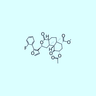 COC(=O)[C@@H]1C[C@H](OC(C)=O)C(=O)[C@H]2[C@@]1(C)CC[C@H]1C(=O)O[C@H](c3ccoc3-c3ccccc3F)C[C@]21C